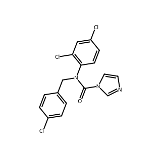 O=C(N(Cc1ccc(Cl)cc1)c1ccc(Cl)cc1Cl)n1ccnc1